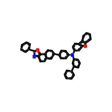 c1ccc(-c2cccc(N(c3ccc(-c4ccc5c(ccc6nc(-c7ccccc7)oc65)c4)cc3)c3ccc4c(c3)oc3ccccc34)c2)cc1